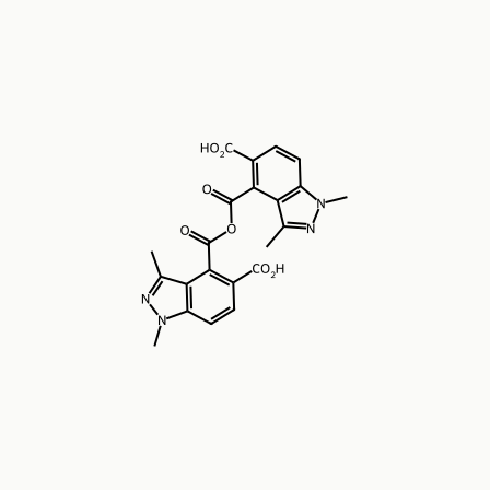 Cc1nn(C)c2ccc(C(=O)O)c(C(=O)OC(=O)c3c(C(=O)O)ccc4c3c(C)nn4C)c12